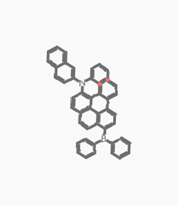 c1ccc(B(c2ccccc2)c2ccc3c4ccccc4c4c(N(c5ccccc5)c5ccc6ccccc6c5)ccc5ccc2c3c54)cc1